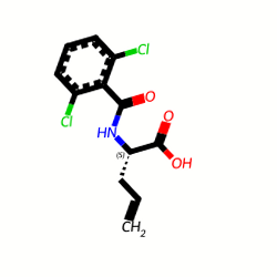 C=CC[C@H](NC(=O)c1c(Cl)cccc1Cl)C(=O)O